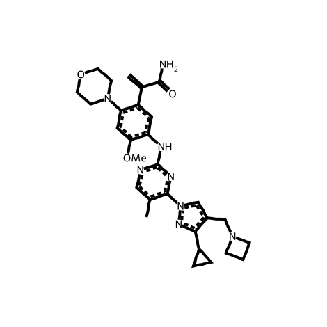 C=C(C(N)=O)c1cc(Nc2ncc(C)c(-n3cc(CN4CCC4)c(C4CC4)n3)n2)c(OC)cc1N1CCOCC1